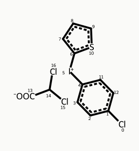 Clc1ccc([I+]c2cccs2)cc1.O=C([O-])C(Cl)Cl